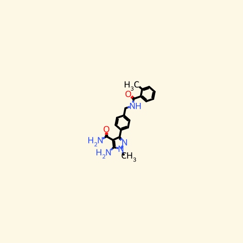 Cc1ccccc1C(=O)NCc1ccc(-c2nn(C)c(N)c2C(N)=O)cc1